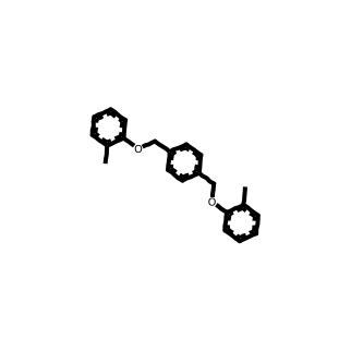 Cc1ccccc1OCc1ccc(COc2ccccc2C)cc1